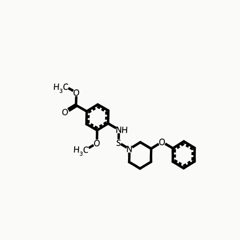 COC(=O)c1ccc(NSN2CCCC(Oc3ccccc3)C2)c(OC)c1